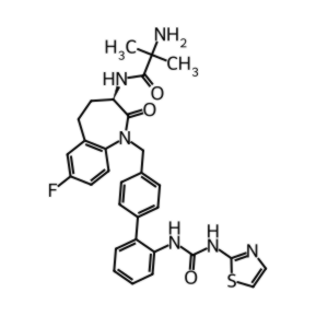 CC(C)(N)C(=O)N[C@@H]1CCc2cc(F)ccc2N(Cc2ccc(-c3ccccc3NC(=O)Nc3nccs3)cc2)C1=O